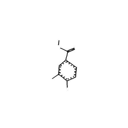 CCCOC(=O)c1ccc(N)c(Br)c1